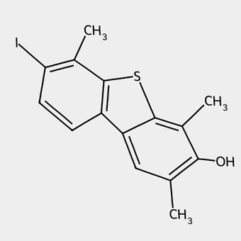 Cc1cc2c(sc3c(C)c(I)ccc32)c(C)c1O